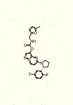 Cc1ccc(CNC(=O)Oc2cnn3ccc(N4CCC[C@@H]4c4cc(F)ccc4F)nc23)o1